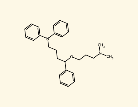 CN(C)CCCOC(CCCN(c1ccccc1)c1ccccc1)c1ccccc1